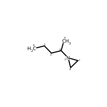 [CH2]C[CH]C(C)N1CC1